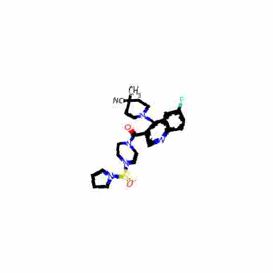 CC1(C#N)CCN(c2c(C(=O)N3CCN([S+]([O-])N4CCCC4)CC3)cnc3ccc(F)cc23)CC1